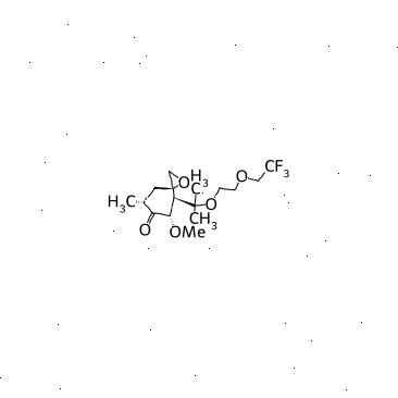 CO[C@@H]1C(=O)[C@H](C)C[C@]2(CO2)[C@H]1C(C)(C)OCCOCC(F)(F)F